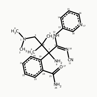 CN(C)CC(C)(C)C(N)(C(=NC#N)Nc1cccnc1)c1ccccc1C(N)=O